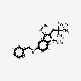 CCOC(=O)C(C)(C)Cc1c(SC(C)(C)C)c2cc(OCc3ccccn3)ccc2n1C